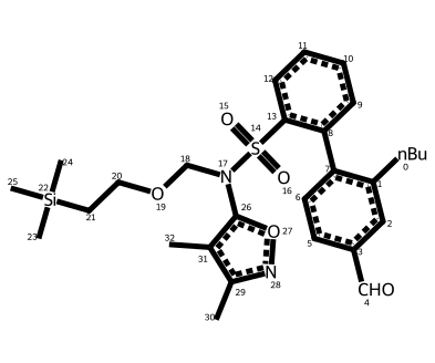 CCCCc1cc(C=O)ccc1-c1ccccc1S(=O)(=O)N(COCC[Si](C)(C)C)c1onc(C)c1C